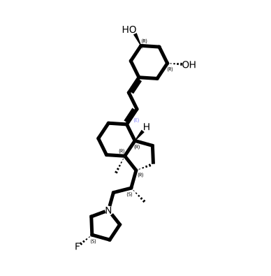 C[C@H](CN1CC[C@H](F)C1)[C@H]1CC[C@H]2/C(=C/C=C3C[C@@H](O)C[C@H](O)C3)CCC[C@]12C